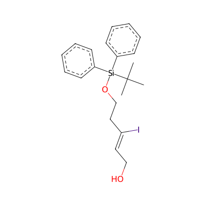 CC(C)(C)[Si](OCC/C(I)=C/CO)(c1ccccc1)c1ccccc1